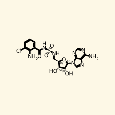 Nc1c(Cl)cccc1C(=O)NS(=O)(=O)NC[C@H]1O[C@@H](n2cnc3c(N)ncnc32)[C@H](O)[C@@H]1O